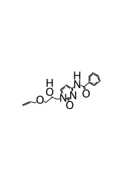 C=CCOCC(O)Cn1ccc(NC(=O)c2ccccc2)nc1=O